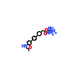 CC1CNc2ccc(-c3ccc(C4CCC(CC(=O)OC(N)(N)N)CC4)cc3)cc2O1